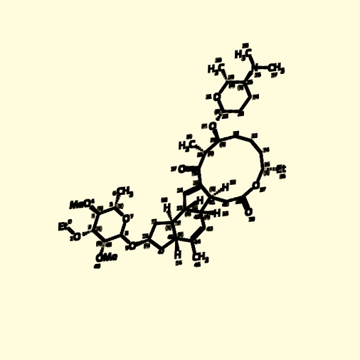 CCO[C@@H]1[C@@H](OC)[C@H](C)OC(O[C@H]2C[C@H]3[C@@H]4C=C5C(=O)[C@H](C)[C@@H](O[C@H]6CC[C@H](N(C)C)[C@@H](C)O6)CCC[C@H](CC)OC(=O)C[C@H]5[C@@H]4C=C(C)[C@@H]3C2)[C@@H]1OC